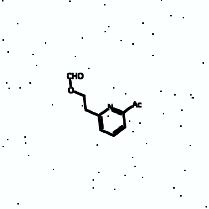 CC(=O)c1cccc(CCOC=O)n1